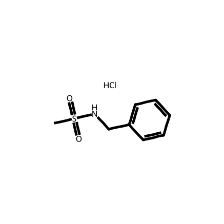 CS(=O)(=O)NCc1ccccc1.Cl